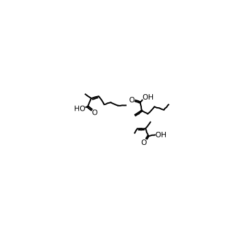 C=C(CCCC)C(=O)O.CC=C(C)C(=O)O.CCCCC=C(C)C(=O)O